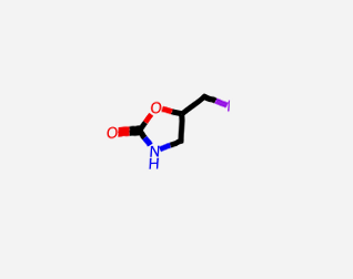 O=C1NCC(CI)O1